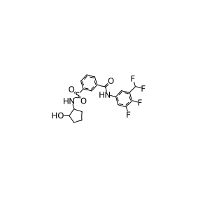 O=C(Nc1cc(F)c(F)c(C(F)F)c1)c1cccc(S(=O)(=O)NC2CCCC2O)c1